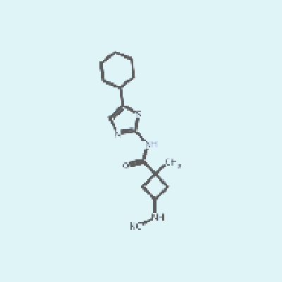 CC1(C(=O)Nc2ncc(C3CCCCC3)s2)CC(NC#N)C1